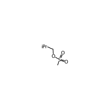 CC(C)COS(C)(=O)=O